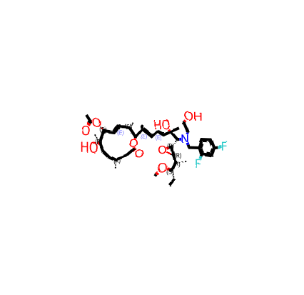 CC[C@H](OC)[C@@H](C)[C@H]1O[C@@H]1C(N(CCO)Cc1ccc(F)cc1F)C(C)(O)/C=C/C=C(\C)C1OC(=O)C[C@H](C)CC[C@@](C)(O)[C@@H](OC(C)=O)/C=C/[C@@H]1C